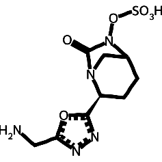 NCc1nnc([C@@H]2CCC3CN2C(=O)N3OS(=O)(=O)O)o1